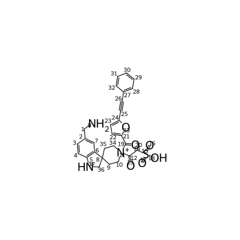 NCc1ccc2c(c1)C1(CC[N+](C(=O)CS(=O)(=O)O)(C(=O)c3ccc(C#Cc4ccccc4)o3)CC1)CN2